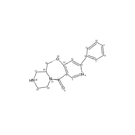 O=C1c2cnc(-c3ccccc3)cc2OCC2CNCCN12